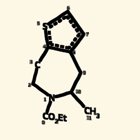 CCOC(=O)N1CCc2sccc2CC1C